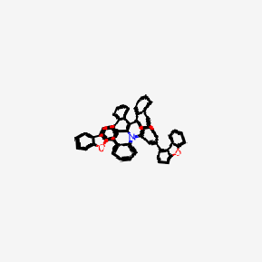 c1cc(-c2cccc3oc4ccccc4c23)cc(N(c2ccccc2-c2cccc3c2oc2ccccc23)c2c(-c3cccc4ccccc34)c3ccccc3c3ccccc23)c1